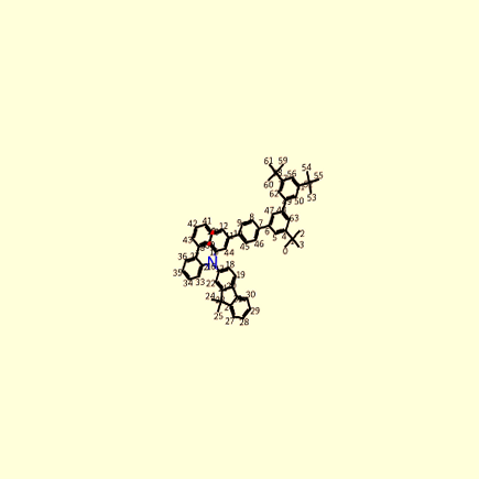 CC(C)(C)c1cc(-c2ccc(-c3cccc(N(c4ccc5c(c4)C(C)(C)c4ccccc4-5)c4ccccc4-c4ccccc4)c3)cc2)cc(-c2cc(C(C)(C)C)cc(C(C)(C)C)c2)c1